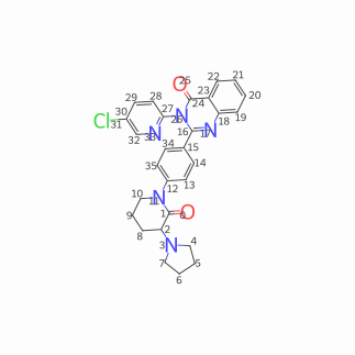 O=C1C(N2CCCC2)CCCN1c1ccc(-c2nc3ccccc3c(=O)n2-c2ccc(Cl)cn2)cc1